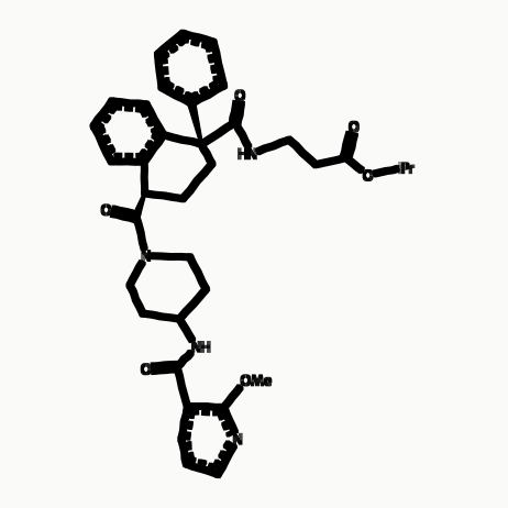 COc1ncccc1C(=O)NC1CCN(C(=O)[C@@H]2CC[C@](C(=O)NCCC(=O)OC(C)C)(c3ccccc3)c3ccccc32)CC1